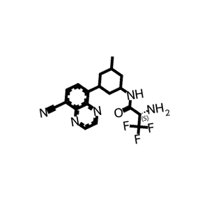 CC1CC(NC(=O)[C@H](N)C(F)(F)F)CC(c2ccc(C#N)c3nccnc23)C1